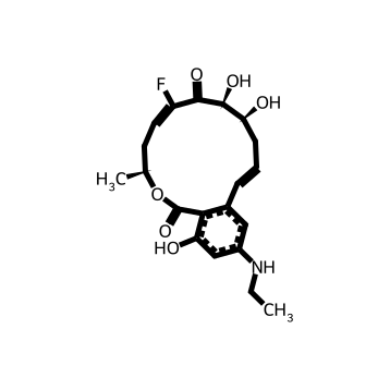 CCNc1cc(O)c2c(c1)/C=C/C[C@H](O)[C@H](O)C(=O)/C(F)=C\C[C@H](C)OC2=O